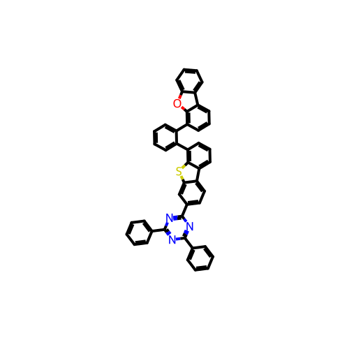 c1ccc(-c2nc(-c3ccccc3)nc(-c3ccc4c(c3)sc3c(-c5ccccc5-c5cccc6c5oc5ccccc56)cccc34)n2)cc1